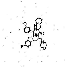 COc1cccc(C(=O)N[C@@H](CC2CCCCC2)C(=O)N[C@@H](CN2CCOCC2)CN2CCc3cc(F)ccc32)c1